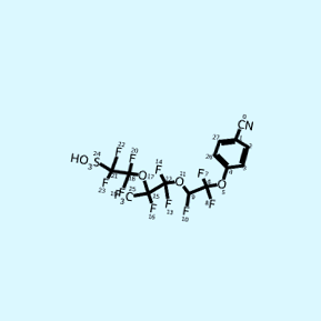 N#Cc1ccc(OC(F)(F)C(F)OC(F)(F)C(F)(OC(F)(F)C(F)(F)S(=O)(=O)O)C(F)(F)F)cc1